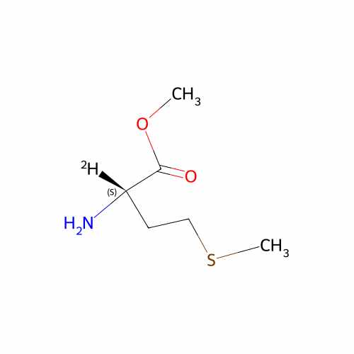 [2H][C@](N)(CCSC)C(=O)OC